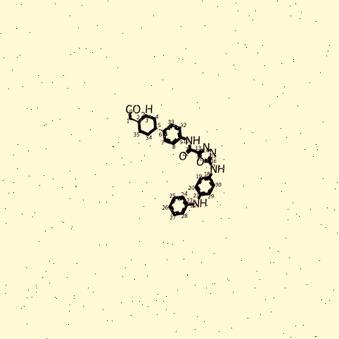 O=C(O)C[C@H]1CC[C@H](c2ccc(NC(=O)c3nnc(Nc4ccc(Nc5ccccc5)cc4)o3)cc2)CC1